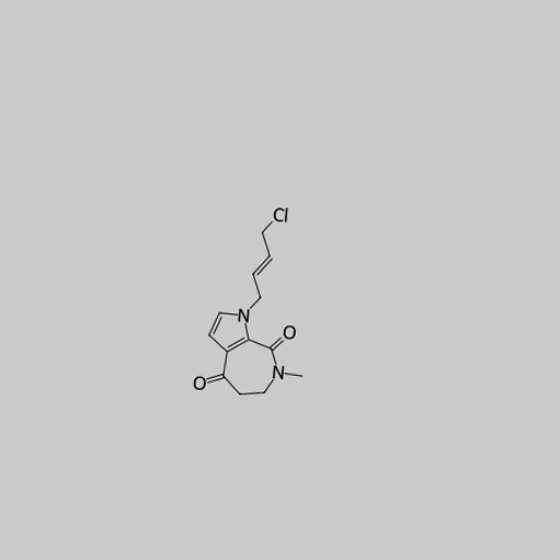 CN1CCC(=O)c2ccn(CC=CCCl)c2C1=O